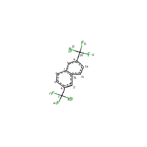 FC(F)(Br)c1ccc2cc(C(F)(F)Br)ccc2c1